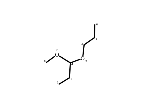 CCCOC(CC)OC